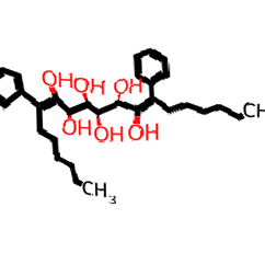 CCCCCCC(=C(O)[C@@H](O)[C@@H](O)[C@H](O)[C@@H](O)C(O)=C(CCCCCC)c1ccccc1)c1ccccc1